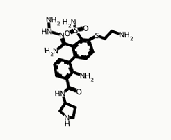 NCCSc1ccc(-c2cccc(C(=O)NC3CCNC3)c2N)c(/C(N)=N/NN)c1S(N)(=O)=O